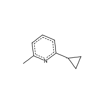 Cc1cccc([C]2CC2)n1